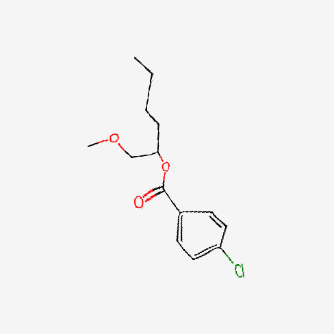 CCCCC(COC)OC(=O)c1ccc(Cl)cc1